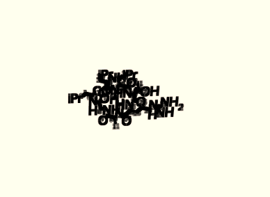 CC(C)C[C@H](NC(=O)CNC(=O)[C@H](C)NC(=O)[C@H](CCCNC(=N)N)NC(=O)[C@@H](NC(=O)[C@H](CC(C)C)NC(=O)[C@@H](N)CC(C)C)[C@@H](C)O)C(=O)O